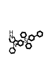 C1=CCCC(n2c3c(c4cc([Si](c5ccccc5)(c5ccccc5)c5ccc(-c6ccccc6)cc5)ccc42)CNC=C3)=C1